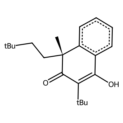 CC(C)(C)CC[C@@]1(C)C(=O)C(C(C)(C)C)=C(O)c2ccccc21